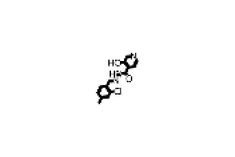 Cc1ccc(/C=N/NC(=O)c2ccncc2O)c(Cl)c1